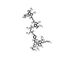 CC(=O)N[C@@H](CCCCN)C(=O)N[C@H](C(=O)N[C@@H](CCCNC(N)=O)C(=O)Nc1ccc(COC(=O)N(C)CCN(C)C(=O)Oc2cc3c(c4c(C)csc24)[C@H](CCl)CN3C(=O)CCCC(=O)N2C[C@@H](CCl)c3c2cc(OP(=O)(O)O)c2scc(C)c32)cc1)C(C)C